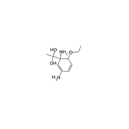 CCOC1C=CC(N)=CC1(N)C(C)(O)O